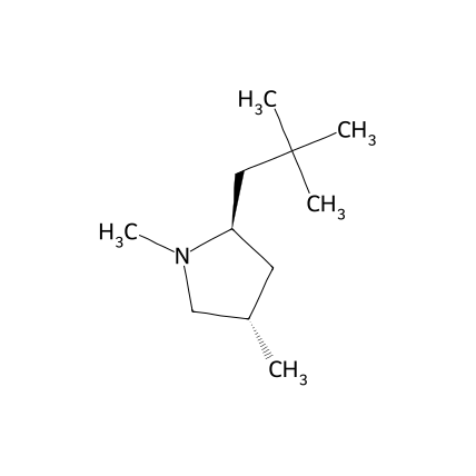 C[C@H]1C[C@H](CC(C)(C)C)N(C)C1